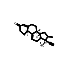 C#C[C@@]1(O)C(C)C[C@H]2[C@@H]3CCC4=CC(=O)CC[C@]4(C)C3=CC[C@@]21C